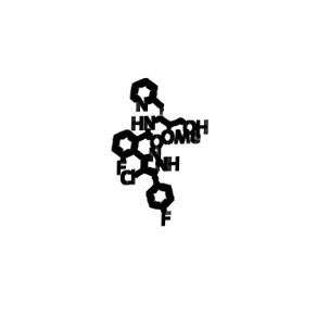 CO[C@H](CO)[C@@H](Cc1ccccn1)NC(=O)c1cccc(F)c1-c1n[nH]c(-c2ccc(F)cc2)c1Cl